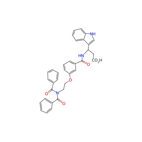 O=C(O)CC(NC(=O)c1cccc(OCCN(C(=O)c2ccccc2)C(=O)c2ccccc2)c1)c1c[nH]c2ccccc12